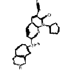 N#Cc1cc2ccc(Nc3ccc4c(c3)CNCC4)nc2n(C2CCCC2)c1=O